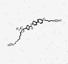 CCCCCCCCCCCCCCCCCCOC(C)c1ccc(C(=O)Oc2ccc(-c3ccc(OCCCCCCCCCCCCCCC)cc3)cc2)cc1